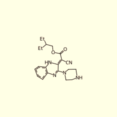 CCC(CC)COC(=O)C(C#N)=C1Nc2ccccc2N=C1N1CCNCC1